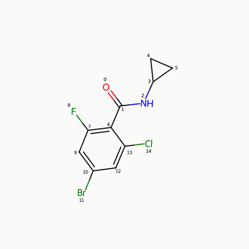 O=C(NC1CC1)c1c(F)cc(Br)cc1Cl